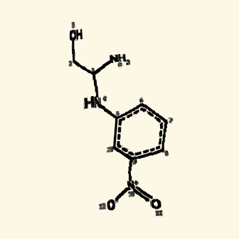 NC(CO)Nc1cccc([N+](=O)[O-])c1